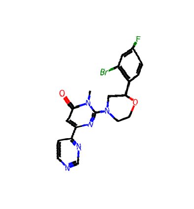 Cn1c(N2CCOC(c3ccc(F)cc3Br)C2)nc(-c2ccncn2)cc1=O